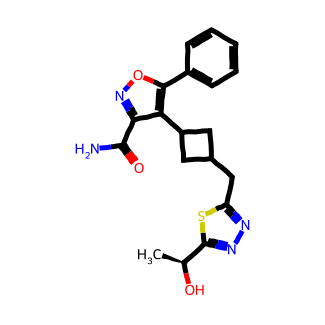 C[C@H](O)c1nnc(CC2CC(c3c(C(N)=O)noc3-c3ccccc3)C2)s1